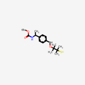 CC(NC(=O)OC(C)(C)C)c1ccc(BOC(C)(C)C(C)(C)S)cc1